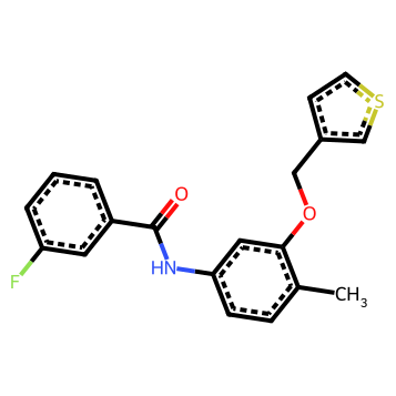 Cc1ccc(NC(=O)c2cccc(F)c2)cc1OCc1ccsc1